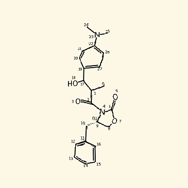 CC(C(=O)N1C(=O)OC[C@@H]1Cc1ccccc1)C(O)c1ccc(N(C)C)cc1